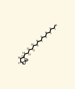 CCCCCCCCCCCCCCCC1CCOO1